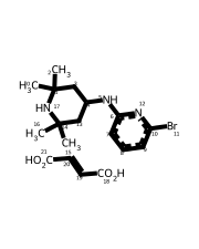 CC1(C)CC(Nc2cccc(Br)n2)CC(C)(C)N1.O=C(O)/C=C/C(=O)O